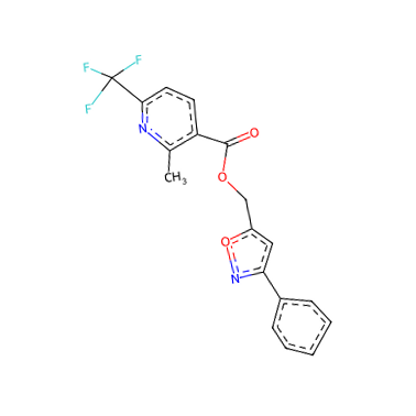 Cc1nc(C(F)(F)F)ccc1C(=O)OCc1cc(-c2ccccc2)no1